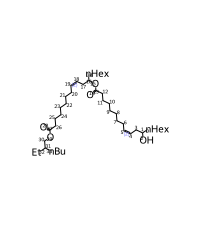 CCCCCCC(O)C/C=C\CCCCCCCC(=O)OC(C/C=C\CCCCCCCC(=O)OCC(CC)CCCC)CCCCCC